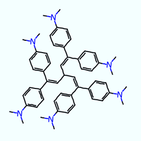 CN(C)c1ccc(C(=CC(C=C(c2ccc(N(C)C)cc2)c2ccc(N(C)C)cc2)C=C(c2ccc(N(C)C)cc2)c2ccc(N(C)C)cc2)c2ccc(N(C)C)cc2)cc1